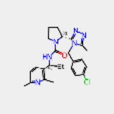 CC[C@H](NC(=O)N1CCC[C@@H]1c1nnc(C)n1Cc1ccc(Cl)cc1)c1ccc(C)nc1C